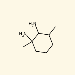 CC1CCCC(C)(N)C1N